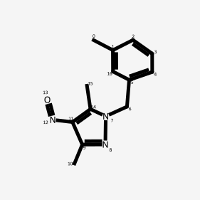 Cc1cccc(Cn2nc(C)c(N=O)c2C)c1